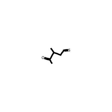 CC(=O)C(C)C[C]=S